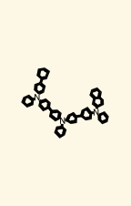 c1ccc(-c2ccc(N(c3ccccc3)c3ccc(-c4ccc(N(c5ccccc5)c5ccc(-c6ccc(N(c7ccccc7)c7ccc8ccccc8c7)cc6)cc5)cc4)cc3)cc2)cc1